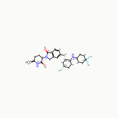 C=C1CCC(N2Cc3cc(C[C@H]4C[C@@H](F)CC[C@@H]4NC4CCC(F)(F)CC4)ccc3C2=O)C(=O)N1